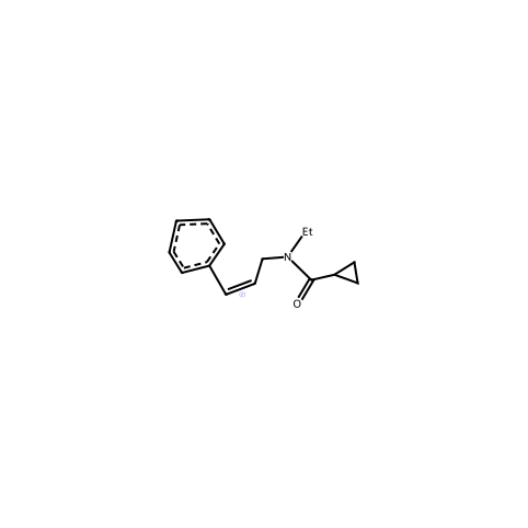 CCN(C/C=C\c1ccccc1)C(=O)C1CC1